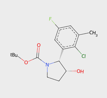 Cc1cc(F)cc([C@@H]2[C@H](O)CCN2C(=O)OC(C)(C)C)c1Cl